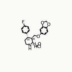 Cl.Fc1ccc([C@H]2CCNC[C@@H]2COc2ccc3c(c2)OCO3)cc1.O